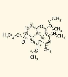 CCOC(=O)C1=C(N(C)C)N=C(C)C(C(=O)OCC)C1c1cccc(C(=O)OCC)c1